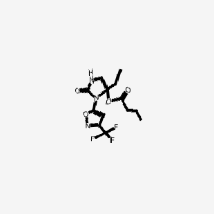 CCCC(=O)OC1(CC)CNC(=O)N1c1cc(C(F)(F)F)no1